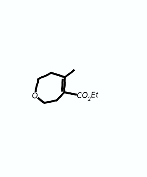 CCOC(=O)C1=C(C)CCOCC1